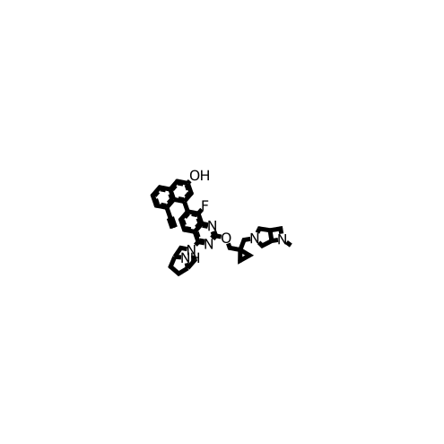 C#Cc1cccc2cc(O)cc(-c3ccc4c(N5CC6CCC(C5)N6)nc(OCC5(CN6CC7CN(C)C7C6)CC5)nc4c3F)c12